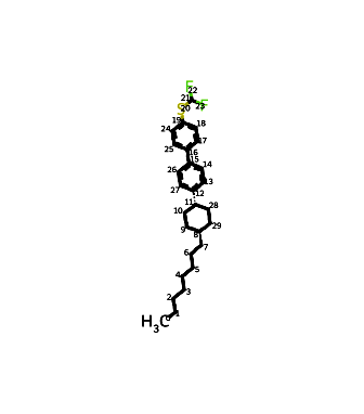 CCCCCCCC[C@H]1CC[C@H](c2ccc(-c3ccc(SC(F)F)cc3)cc2)CC1